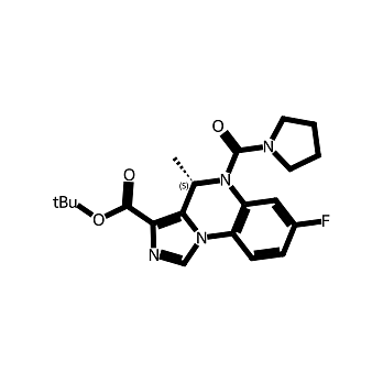 C[C@H]1c2c(C(=O)OC(C)(C)C)ncn2-c2ccc(F)cc2N1C(=O)N1CCCC1